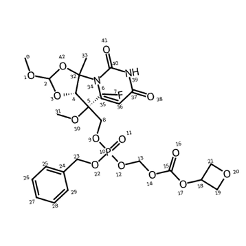 COC1O[C@@H]([C@@](CF)(COP(=O)(OCOC(=O)OC2COC2)OCc2ccccc2)OC)C(C)(n2ccc(=O)[nH]c2=O)O1